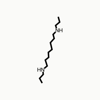 CCCNCCCCCCCCNCCC